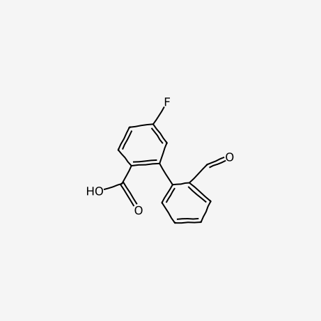 O=Cc1ccccc1-c1cc(F)ccc1C(=O)O